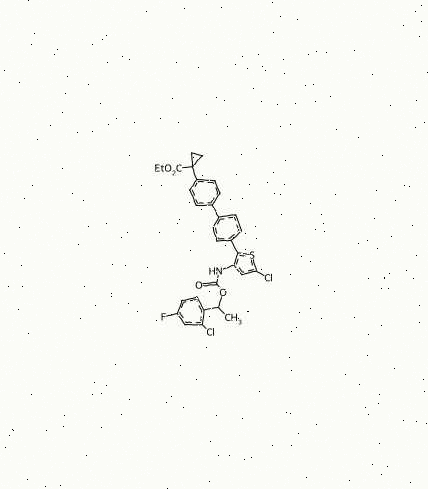 CCOC(=O)C1(c2ccc(-c3ccc(-c4sc(Cl)cc4NC(=O)OC(C)c4ccc(F)cc4Cl)cc3)cc2)CC1